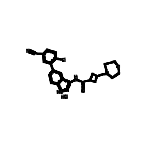 Cl.N#Cc1ccc(Cl)c(-c2ccc3[nH]nc(NC(=O)C4CC(N5CCOCC5)C4)c3c2)c1